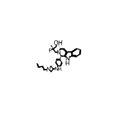 CCCCN1CC(Nc2ccc([C@@H]3c4[nH]c5ccccc5c4C[C@@H](C)N3C[C@](C)(F)CO)cc2)C1